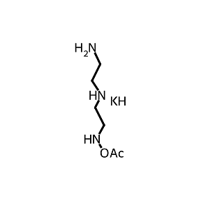 CC(=O)ONCCNCCN.[KH]